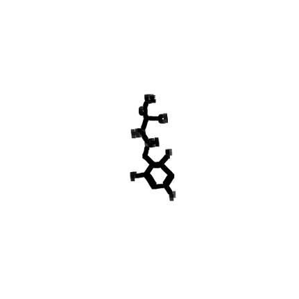 CCOC(Cl)NNCc1c(F)cc(F)cc1F